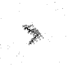 CC(=O)O.CC(=O)O.CC(=O)O.CC(=O)O.CC(=O)O.CC(=O)O.NC(CCC(=O)O)C(=O)O